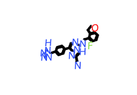 N#Cc1cn2c(NCc3c(F)ccc4c3CCO4)ncc(-c3ccc(-c4nnn[nH]4)cc3)c2n1